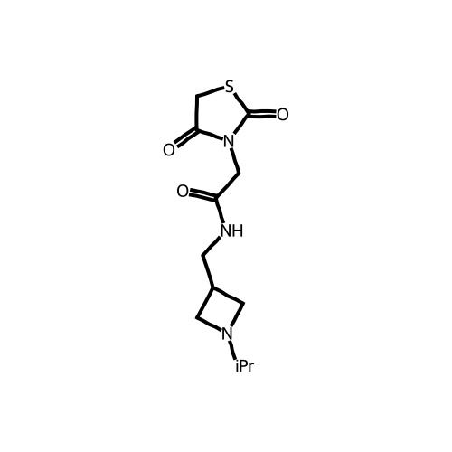 CC(C)N1CC(CNC(=O)CN2C(=O)CSC2=O)C1